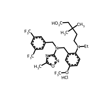 CCN(CCC(C)(C)CC(=O)O)c1ccc(OC(F)(F)F)cc1CN(Cc1cc(C(F)(F)F)cc(C(F)(F)F)c1)c1noc(C)n1.Cl